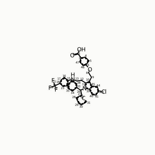 O=C(O)c1ccc(OCCc2c(CCNc3ccc(C(F)(F)F)cc3)n(C(c3ccccc3)c3ccccc3)c3ccc(Cl)cc23)cc1